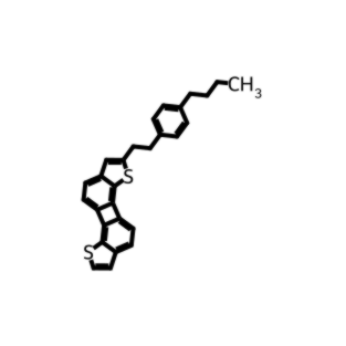 CCCCc1ccc(CCc2cc3ccc4c(c3s2)-c2ccc3ccsc3c2-4)cc1